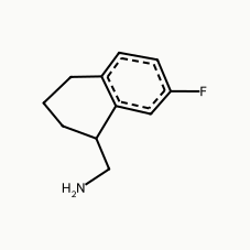 NCC1CCCc2ccc(F)cc21